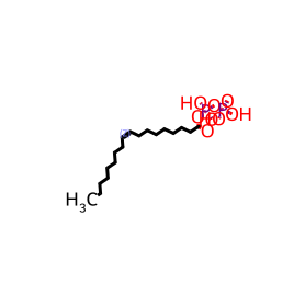 CCCCCCCC/C=C\CCCCCCCC(=O)OP(=O)(O)OP(=O)(O)O